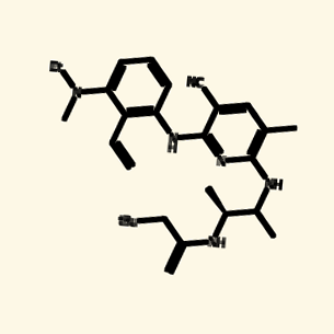 C=Cc1c(Nc2nc(NC(C)[C@H](C)NC(=C)CC(C)(C)C)c(C)cc2C#N)cccc1N(C)CC